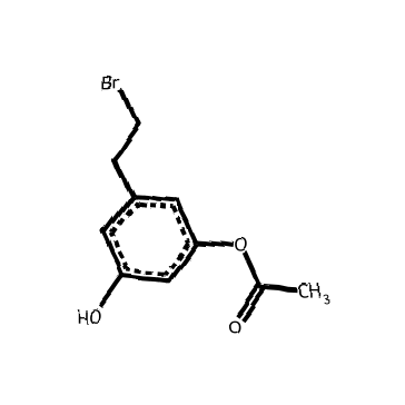 CC(=O)Oc1cc(O)cc(CCBr)c1